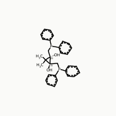 CC1(C)[C@@](O)(CP(c2ccccc2)c2ccccc2)[C@]1(O)CP(c1ccccc1)c1ccccc1